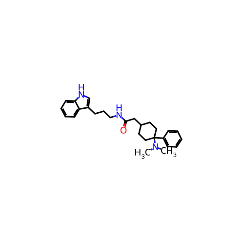 CN(C)C1(c2ccccc2)CCC(CC(=O)NCCCc2c[nH]c3ccccc23)CC1